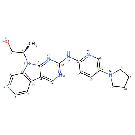 C[C@H](CO)n1c2cnccc2c2cnc(Nc3ccc(N4CCCC4)cn3)nc21